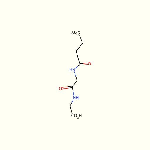 CSCCC(=O)NCC(=O)NCC(=O)O